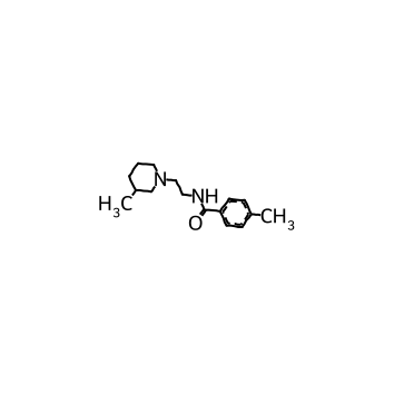 Cc1ccc(C(=O)NCCN2CCCC(C)C2)cc1